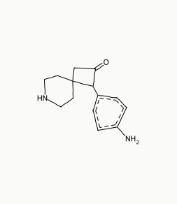 Nc1ccc(C2C(=O)CC23CCNCC3)cc1